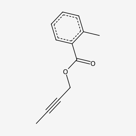 CC#CCOC(=O)c1ccccc1C